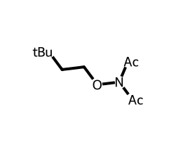 CC(=O)N(OCCC(C)(C)C)C(C)=O